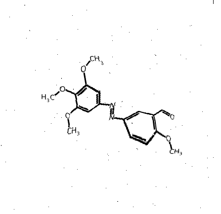 COc1ccc(N=Nc2cc(OC)c(OC)c(OC)c2)cc1C=O